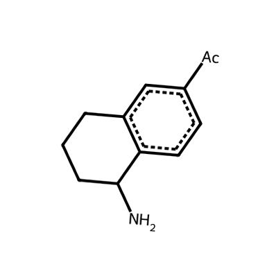 CC(=O)c1ccc2c(c1)CCCC2N